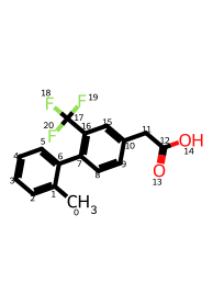 Cc1ccccc1-c1ccc(CC(=O)O)cc1C(F)(F)F